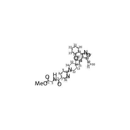 COC(=O)CNC(=O)c1ccc(N2CCC3(C=C(c4c(-c5ccccc5C(F)(F)F)noc4C4CC4)C3)CC2)nc1